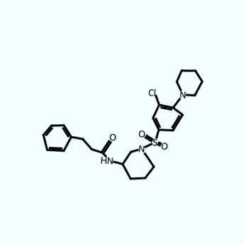 O=C(CCc1ccccc1)NC1CCCN(S(=O)(=O)c2ccc(N3CCCCC3)c(Cl)c2)C1